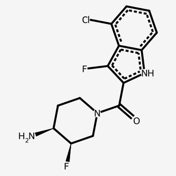 N[C@H]1CCN(C(=O)c2[nH]c3cccc(Cl)c3c2F)C[C@H]1F